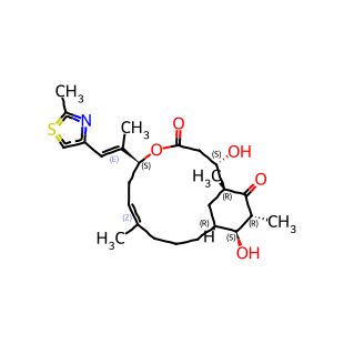 C/C1=C/C[C@@H](/C(C)=C/c2csc(C)n2)OC(=O)C[C@H](O)[C@@]2(C)C[C@@H](CCC1)[C@H](O)[C@@H](C)C2=O